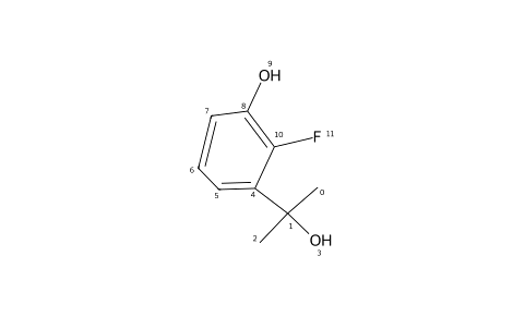 CC(C)(O)c1cccc(O)c1F